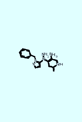 CC1CC(N(N)c2ccnn2Cc2ccccc2)=C(N)CN1